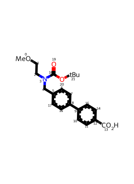 COCCN(Cc1ccc(-c2ccc(C(=O)O)cc2)cc1)C(=O)OC(C)(C)C